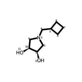 O[C@@H]1CN(CC2CCC2)C[C@@H]1O